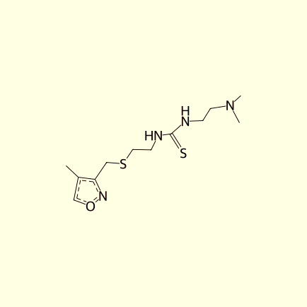 Cc1conc1CSCCNC(=S)NCCN(C)C